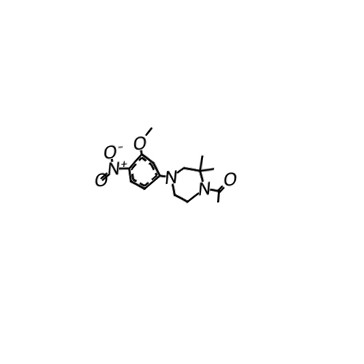 COc1cc(N2CCN(C(C)=O)C(C)(C)C2)ccc1[N+](=O)[O-]